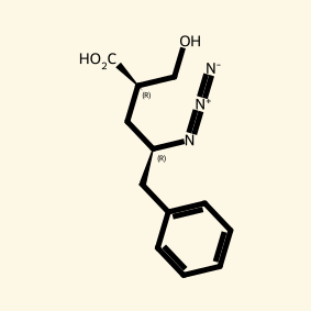 [N-]=[N+]=N[C@@H](Cc1ccccc1)C[C@H](CO)C(=O)O